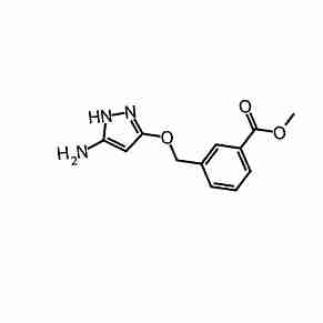 COC(=O)c1cccc(COc2cc(N)[nH]n2)c1